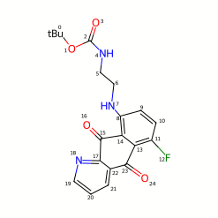 CC(C)(C)OC(=O)NCCNc1ccc(F)c2c1C(=O)c1ncccc1C2=O